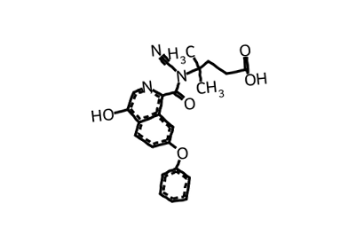 CC(C)(CCC(=O)O)N(C#N)C(=O)c1ncc(O)c2ccc(Oc3ccccc3)cc12